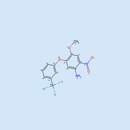 COc1cc([N+](=O)[O-])c(N)cc1Oc1cccc(C(F)(F)F)c1